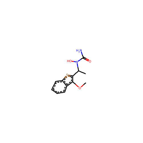 COc1c(C(C)N(O)C(N)=O)sc2ccccc12